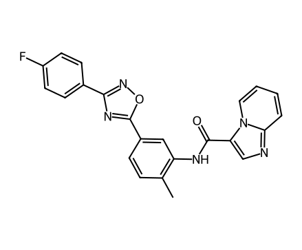 Cc1ccc(-c2nc(-c3ccc(F)cc3)no2)cc1NC(=O)c1cnc2ccccn12